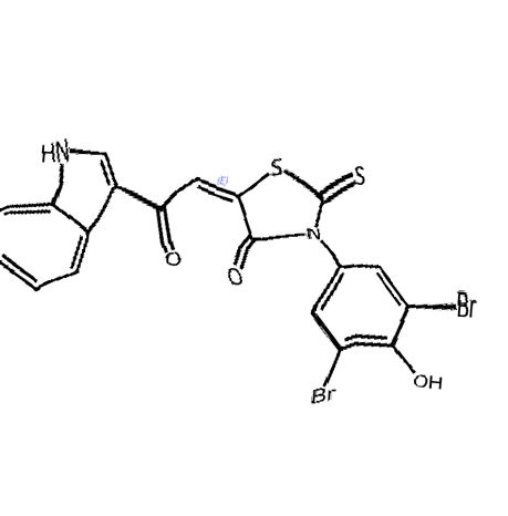 O=C(/C=C1/SC(=S)N(c2cc(Br)c(O)c(Br)c2)C1=O)c1c[nH]c2ccccc12